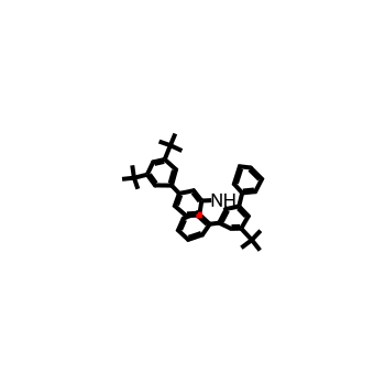 CC(C)(C)c1cc(-c2cccc(Nc3c(-c4ccccc4)cc(C(C)(C)C)cc3-c3ccccc3)c2)cc(C(C)(C)C)c1